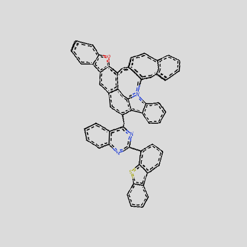 c1ccc2c(c1)ccc1c3c4oc5ccccc5c4cc4cc(-c5nc(-c6cccc7c6sc6ccccc67)nc6ccccc56)c5c6ccccc6n(c21)c5c43